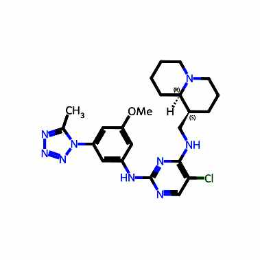 COc1cc(Nc2ncc(Cl)c(NC[C@@H]3CCCN4CCCC[C@H]34)n2)cc(-n2nnnc2C)c1